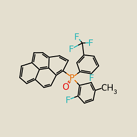 Cc1ccc(F)c(P(=O)(c2cc(C(F)(F)F)ccc2F)c2ccc3ccc4cccc5ccc2c3c45)c1